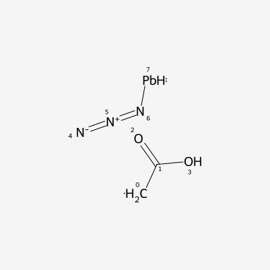 [CH2]C(=O)O.[N-]=[N+]=[N][PbH]